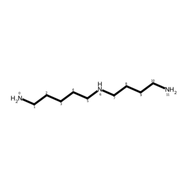 NCCCCCNCCCCN